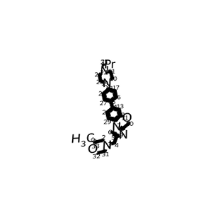 CC1CN(Cc2cn3c(n2)COc2cc(-c4ccc(N5CCN(C(C)C)CC5)cc4)ccc2-3)CCO1